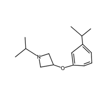 CC(C)c1cccc(OC2CN(C(C)C)C2)c1